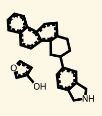 Oc1ccoc1.c1ccc2c(c1)ccc1c3c(ccc12)CCC(c1ccc2c(c1)CNC2)C3